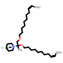 CCCCCCCC/C=C\CCCCCCCCOCC(C)(OCCCCCCCC/C=C\CCCCCCCC)[N+]12CCC(CC1)CC2.[Cl-]